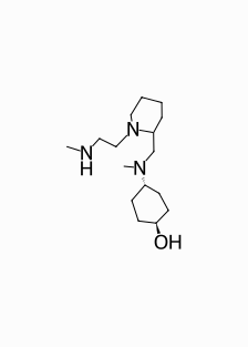 CNCCN1CCCCC1CN(C)[C@H]1CC[C@H](O)CC1